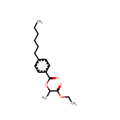 CCCCCCc1ccc(C(=O)OC(C)C(=O)OCC)cc1